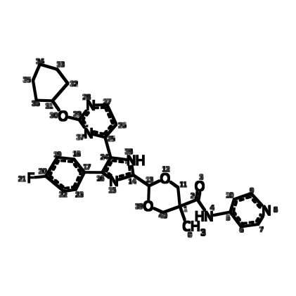 CC1(C(=O)Nc2ccncc2)COC(c2nc(-c3ccc(F)cc3)c(-c3ccnc(OC4CCCCC4)n3)[nH]2)OC1